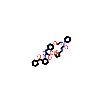 O=C(c1ccccc1)c1ccccc1N[C@@H](Cc1ccc(OCCN(C(=O)/C=C/c2cccs2)c2ccccc2)cc1)C(=O)O